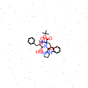 CC(C)(C)OC(=O)[C@@](Cc1c[nH]c2ccccc12)(C(=O)O)N(C(=O)C(N)Cc1ccccc1)C(=O)C1CCCN1O